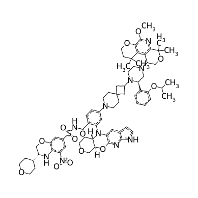 COc1nc2c(c3c1OCCC3(C)C)[C@H](N1CCN(C3CC4(CCN(c5ccc(C(=O)NS(=O)(=O)c6cc7c(c([N+](=O)[O-])c6)N[C@H](C6CCOCC6)CO7)c(N6c7cc8cc[nH]c8nc7O[C@H]7COCC[C@@H]76)c5)CC4)C3)[C@H](c3ccccc3OC(C)C)C1)COC2(C)C